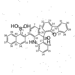 OB(O)c1c(-c2cccc3c2Nc2ccccc2C3(O)c2cccc3c2oc2ccccc23)ccc2ccccc12